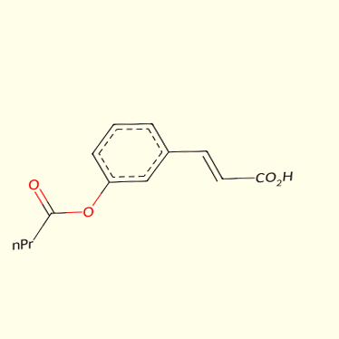 CCCC(=O)Oc1cccc(/C=C/C(=O)O)c1